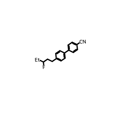 CCC(F)CCc1ccc(-c2ccc(C#N)cc2)cc1